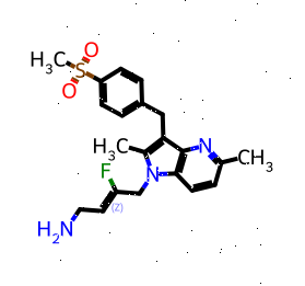 Cc1ccc2c(n1)c(Cc1ccc(S(C)(=O)=O)cc1)c(C)n2C/C(F)=C/CN